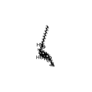 CCCCCCCCCCCCCCNC(=O)CC[C@@H](C)[C@H]1CC[C@H]2[C@@H]3[C@@H](O)C[C@@H]4C[C@H](OC(=O)CCCN(C)C)CC[C@]4(C)[C@H]3CC[C@]12C